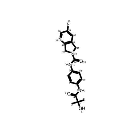 CC(C)(O)C(=O)Nc1ccc(NC(=O)N2Cc3cc(F)cnc3C2)cc1